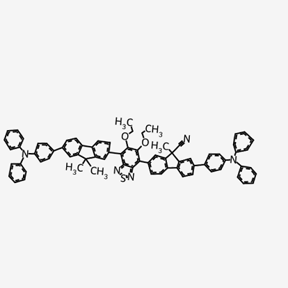 CCOc1c(OCC)c(-c2ccc3c(c2)C(C)(C#N)c2cc(-c4ccc(N(c5ccccc5)c5ccccc5)cc4)ccc2-3)c2nsnc2c1-c1ccc2c(c1)C(C)(C)c1cc(-c3ccc(N(c4ccccc4)c4ccccc4)cc3)ccc1-2